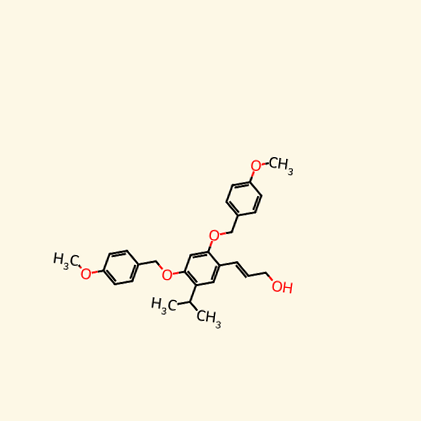 COc1ccc(COc2cc(OCc3ccc(OC)cc3)c(C(C)C)cc2C=CCO)cc1